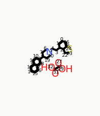 C1=CC(CCN2CCC(c3ccc4ccccc4c3)CC2)C2CCSC2=C1.O=C(O)C(=O)O